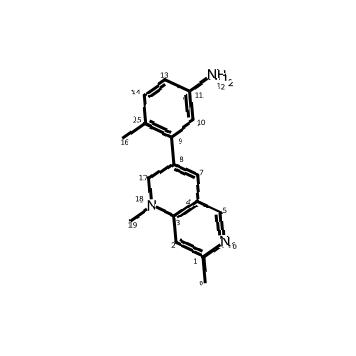 Cc1cc2c(cn1)C=C(c1cc(N)ccc1C)CN2C